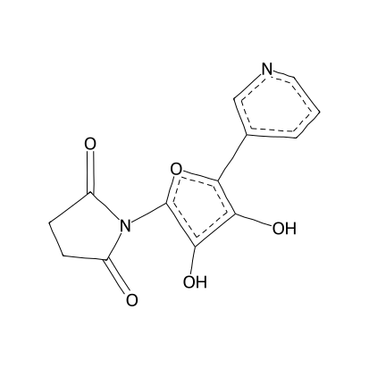 O=C1CCC(=O)N1c1oc(-c2cccnc2)c(O)c1O